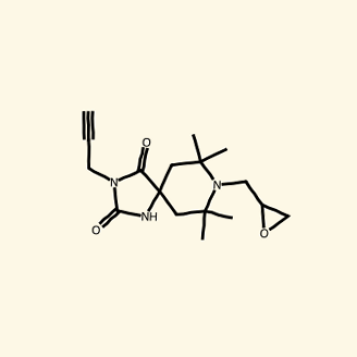 C#CCN1C(=O)NC2(CC(C)(C)N(CC3CO3)C(C)(C)C2)C1=O